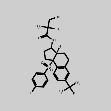 CC(C)(CO)C(=O)N[C@@H]1CC[C@@]2(S(=O)(=O)c3ccc(F)cc3)c3ccc(C(F)(C(F)(F)F)C(F)(F)F)cc3CC[C@@H]12